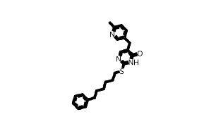 Cc1ccc(Cc2cnc(SCCCCCCc3ccccc3)[nH]c2=O)cn1